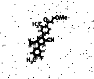 COCCC(=O)N1CCN(c2nc(C3CC3)c(-c3ccc(C)c(F)c3)cc2C#N)C[C@H]1C